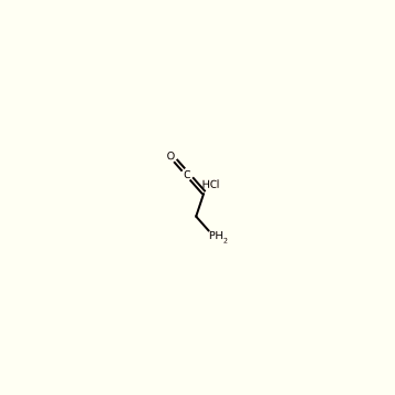 Cl.O=C=CCP